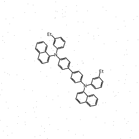 CCc1cccc(N(c2ccc(-c3ccc(N(c4cccc(CC)c4)c4cccc5ccccc45)cc3)cc2)c2cccc3ccccc23)c1